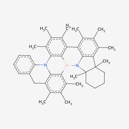 Cc1c(C)c2c3c(c1C)B1c4c(c(C)c(C)c(C)c4N3c3ccccc3C2)-c2c(C)c(C)c(C)c3c2N1C1(C)CCCCC31C